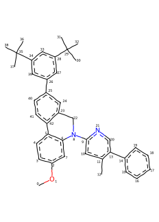 COc1ccc2c(c1)N(c1cc(C)c(-c3ccccc3)cn1)Cc1cc(-c3cc(C(C)(C)C)cc(C(C)(C)C)c3)ccc1-2